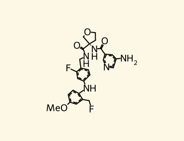 COc1ccc(Nc2ccc(CNC(=O)[C@]3(NC(=O)c4cncc(N)c4)CCOC3)c(F)c2)c(CF)c1